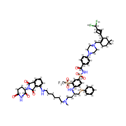 CN(CCCCCCNc1cccc2c1C(=O)N(C1CCC(=O)NC1=O)C2=O)CC[C@H](CSc1ccccc1)Nc1ccc(S(=O)(=O)NC(=O)c2ccc(N3CCN(CC4=C(C56CC(C(F)F)(C5)C6)CC(C)(C)CC4)CC3)cc2)cc1S(=O)(=O)C(F)(F)F